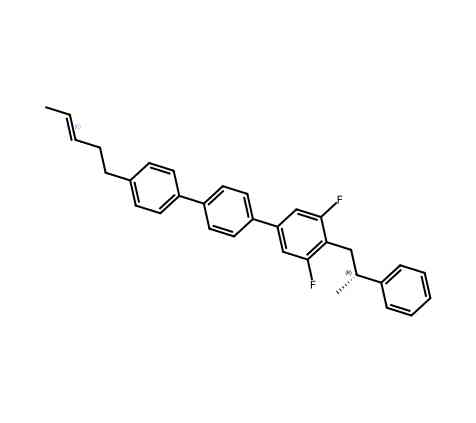 C/C=C/CCc1ccc(-c2ccc(-c3cc(F)c(C[C@@H](C)c4ccccc4)c(F)c3)cc2)cc1